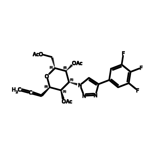 C=C=C[C@H]1O[C@H](COC(C)=O)[C@H](OC(C)=O)[C@H](n2cc(-c3cc(F)c(F)c(F)c3)nn2)[C@H]1OC(C)=O